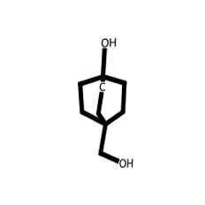 OCC12CCC(O)(CC1)CC2